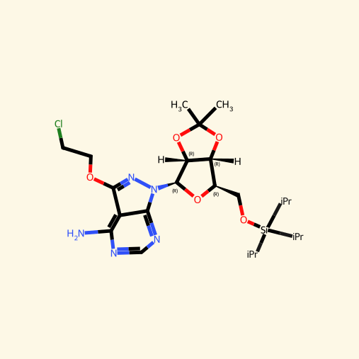 CC(C)[Si](OC[C@H]1O[C@@H](n2nc(OCCCl)c3c(N)ncnc32)[C@@H]2OC(C)(C)O[C@@H]21)(C(C)C)C(C)C